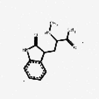 CNC(CC1C(=O)Nc2ccccc21)C(C)=O